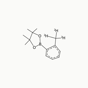 [2H]C([2H])([2H])c1ccccc1B1OC(C)(C)C(C)(C)O1